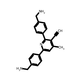 C#Cc1c(C)cc(-c2ccc(CN)cc2)nc1-c1ccc(CN)cc1